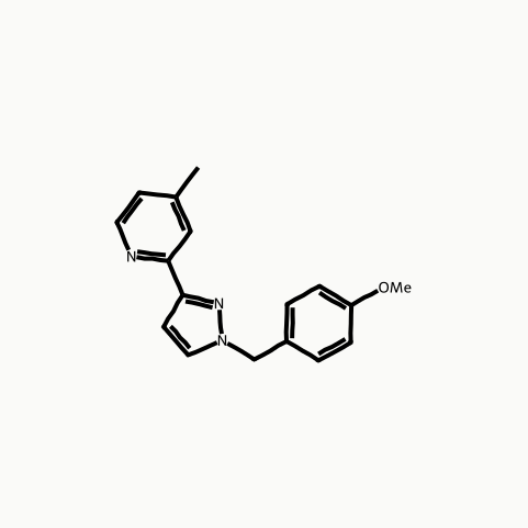 COc1ccc(Cn2ccc(-c3cc(C)ccn3)n2)cc1